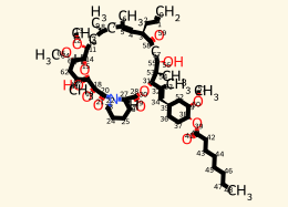 C=CC[C@@H]1/C=C(\C)C[C@H](C)C[C@H](OC)[C@H]2O[C@@](O)(C(=O)C(=O)N3CCCC[C@H]3C(=O)OC(/C(C)=C/[C@@H]3CC[C@@H](OC(=O)CCCCCCC)[C@H](OC)C3)[C@H](C)[C@@H](O)CC1=O)[C@H](C)C[C@@H]2OC